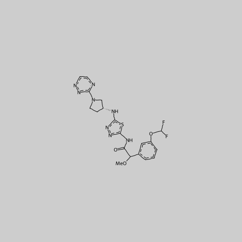 COC(C(=O)Nc1nnc(N[C@@H]2CCN(c3nccnn3)C2)s1)c1cccc(OC(F)F)c1